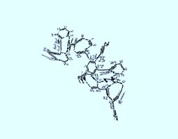 N#Cc1cc(-c2cccc(-n3c4ccccc4c4ccccc43)c2)c(C#N)c(-c2ccccc2-n2c3ccccc3c3cc(C#N)ccc32)c1